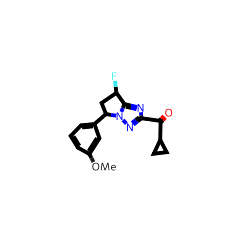 COc1cccc(C2CC(F)c3nc(C(=O)C4CC4)nn32)c1